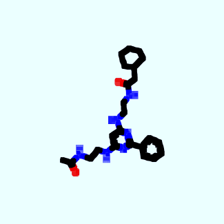 CC(=O)NCCNc1cc(NCCNC(=O)CC2CCCCC2)nc(-c2ccccc2)n1